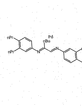 CCCCC(/C=N/c1ccc(CCC)c(CCC)c1)=N\c1ccc(CCC)c(CCC)c1.[Pd]